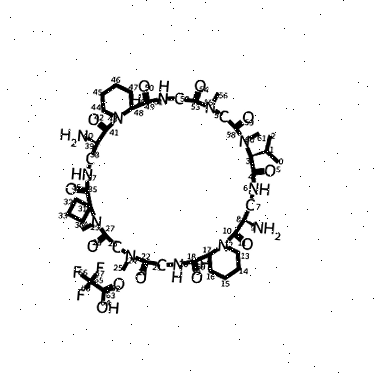 CC(C)[C@H]1C(=O)NC[C@@H](N)C(=O)N2CCCC[C@H]2C(=O)NCC(=O)N(C)CC(=O)N(C)C2(CCC2)C(=O)NC[C@@H](N)C(=O)N2CCCC[C@H]2C(=O)NCC(=O)N(C)CC(=O)N1C.O=C(O)C(F)(F)F